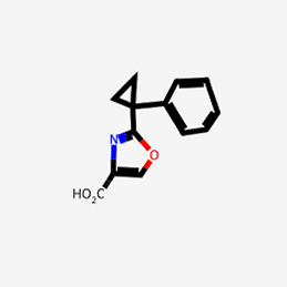 O=C(O)c1coc(C2(c3ccccc3)CC2)n1